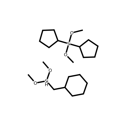 CO[SiH](CC1CCCCC1)OC.CO[Si](OC)(C1CCCC1)C1CCCC1